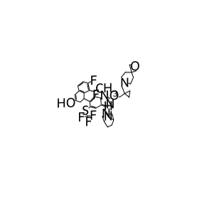 CCc1c(F)ccc2c1C(c1c(SC(F)(F)F)cc3c(N4CC5CCC(C4)N5)nc(OCC4(CN5CCC6(CC5)COC6)CC4)nc3c1F)CC(O)=C2